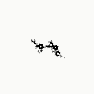 COCCNC(=O)c1ccc(NCC#Cc2sc3c(NC4CCN(C)CC4F)cccc3c2CC(F)(F)F)c(OC)c1